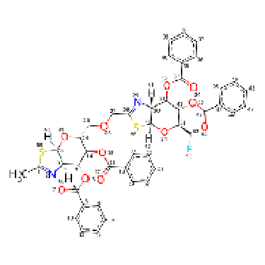 CC1=N[C@@H]2[C@@H](OC(=O)c3ccccc3)[C@H](OC(=O)c3ccccc3)[C@@H](COCC3=N[C@@H]4[C@@H](OC(=O)c5ccccc5)[C@H](OC(=O)c5ccccc5)[C@@H](CF)O[C@@H]4S3)O[C@@H]2S1